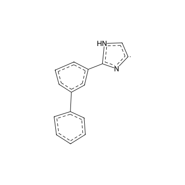 [c]1c[nH]c(-c2cccc(-c3ccccc3)c2)n1